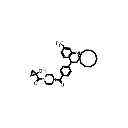 O=C(c1ccc(C2CC3(CCCCCCCCC3)Nc3cc(C(F)(F)F)ccc32)cc1)N1CCN(C(=O)C2(O)CC2)CC1